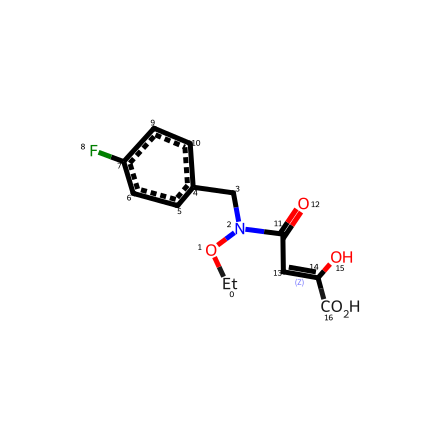 CCON(Cc1ccc(F)cc1)C(=O)/C=C(\O)C(=O)O